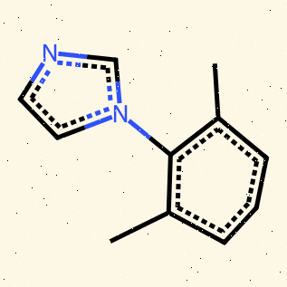 Cc1cccc(C)c1-n1ccnc1